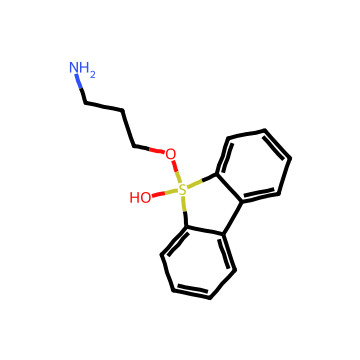 NCCCOS1(O)c2ccccc2-c2ccccc21